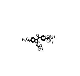 COc1ccc2c(C(=O)c3ccc(C(C)(C)CO)nc3)nn(CC(=O)O)c2c1